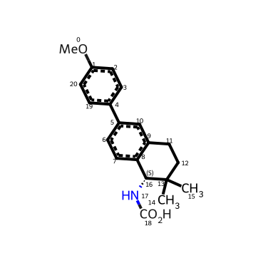 COc1ccc(-c2ccc3c(c2)CCC(C)(C)[C@@H]3NC(=O)O)cc1